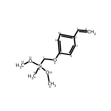 C=Cc1ccc(OC[Si](C)(OC)OC)cc1